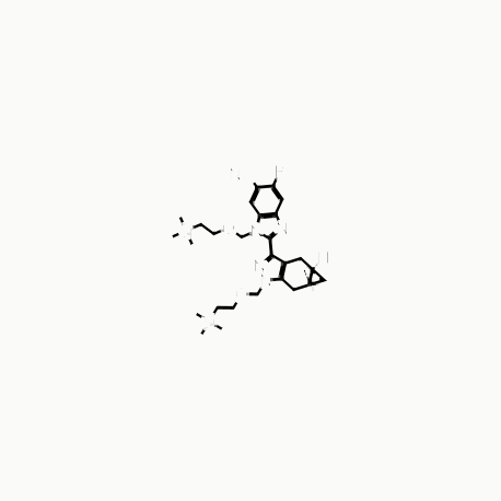 C[C@@]12Cc3c(c(-c4nc5cc(Br)c(C#N)cc5n4COCC[Si](C)(C)C)nn3COCC[Si](C)(C)C)C[C@@H]1C2